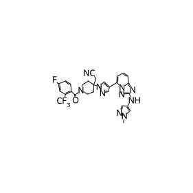 Cn1cc(Nc2nc3cccc(-c4cnn(C5(CC#N)CCN(C(=O)c6ccc(F)cc6C(F)(F)F)CC5)c4)n3n2)cn1